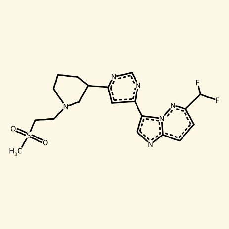 CS(=O)(=O)CCN1CCCC(c2cc(-c3cnc4ccc(C(F)F)nn34)ncn2)C1